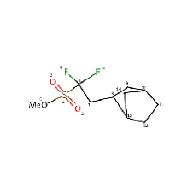 COS(=O)(=O)C(F)(F)CC1CC2CCC1C2